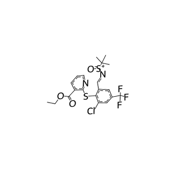 CCOC(=O)c1cccnc1Sc1c(Cl)cc(C(F)(F)F)cc1C=N[S+]([O-])C(C)(C)C